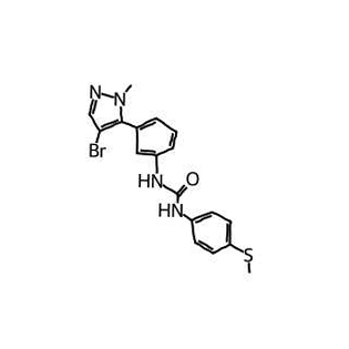 CSc1ccc(NC(=O)Nc2cccc(-c3c(Br)cnn3C)c2)cc1